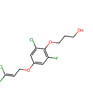 OCCCOc1c(F)cc(OCC=C(Cl)Cl)cc1Cl